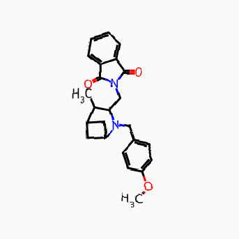 COc1ccc(CN2C3CC(C3)C(C)C2CN2C(=O)c3ccccc3C2=O)cc1